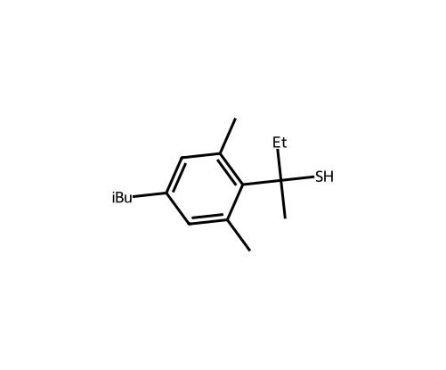 CCC(C)c1cc(C)c(C(C)(S)CC)c(C)c1